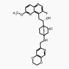 COc1ccc2ncc(F)c(C[C@H](O)C34CCC(NCc5cc6c(cn5)OCCO6)(CC3)CC4)c2n1.Cl